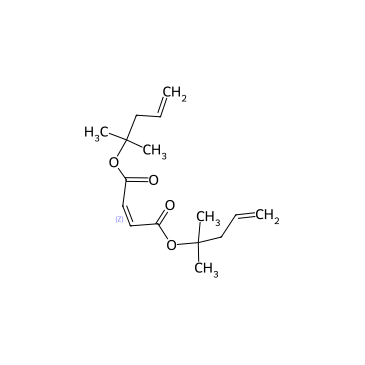 C=CCC(C)(C)OC(=O)/C=C\C(=O)OC(C)(C)CC=C